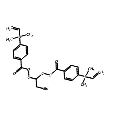 [CH2]CC(C)C[C](OOC(=O)c1ccc([Si](C)(C)C=C)cc1)OOC(=O)c1ccc([Si](C)(C)C=C)cc1